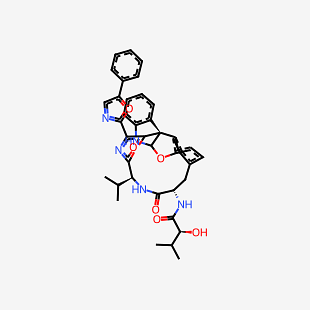 CC(C)[C@H](O)C(=O)N[C@H]1Cc2ccc3c(c2)[C@@]2(c4ccccc4NC2O3)c2oc(nc2-c2ncc(-c3ccccc3)o2)[C@H](C(C)C)NC1=O